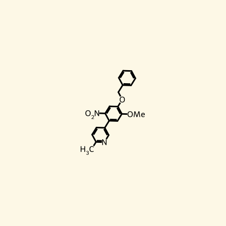 COc1cc(-c2ccc(C)nc2)c([N+](=O)[O-])cc1OCc1ccccc1